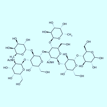 CC(=O)N[C@H]1[C@@H](O[C@H]2[C@@H](O)[C@@H](CO)O[C@@H](O[C@@H]3[C@@H](NC(C)=O)[C@H](O[C@H]4[C@@H](O)[C@@H](CO)O[C@@H](O[C@H]5[C@H](O)[C@@H](O)C(O)O[C@@H]5CO)[C@@H]4O)O[C@H](CO)[C@H]3O[C@@H]3O[C@@H](C)[C@@H](O)[C@@H](O)[C@@H]3O)[C@@H]2O[C@@H]2O[C@@H](C)[C@@H](O)[C@@H](O)[C@@H]2O)O[C@H](CO)[C@H](O)[C@@H]1O